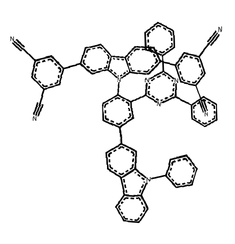 N#Cc1cc(C#N)cc(-c2ccc3c4ccc(-c5cc(C#N)cc(C#N)c5)cc4n(-c4ccc(-c5ccc6c7ccccc7n(-c7ccccc7)c6c5)cc4-c4nc(-c5ccccc5)nc(-c5ccccc5)n4)c3c2)c1